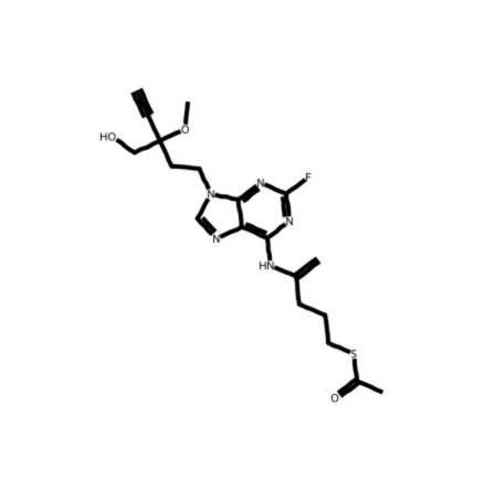 C#CC(CO)(CCn1cnc2c(NC(=C)CCCSC(C)=O)nc(F)nc21)OC